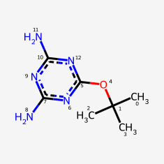 CC(C)(C)Oc1nc(N)nc(N)n1